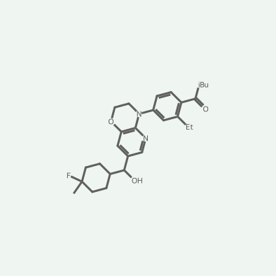 CCc1cc(N2CCOc3cc(C(O)C4CCC(C)(F)CC4)cnc32)ccc1C(=O)C(C)CC